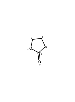 O=[N+]1[CH]CCO1